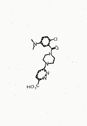 CN(C)c1ccc(Cl)c(C(=O)N2CCN(c3ccc(C(=O)O)nn3)CC2)c1